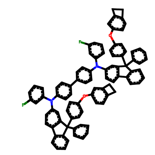 Fc1cccc(N(c2ccc(-c3ccc(N(c4cccc(F)c4)c4ccc5c(c4)C(c4ccccc4)(c4ccc(Oc6ccc7c(c6)CC7)cc4)c4ccccc4-5)cc3)cc2)c2ccc3c(c2)C(c2ccccc2)(c2ccc(Oc4ccc5c(c4)CC5)cc2)c2ccccc2-3)c1